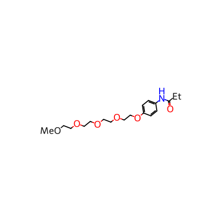 CCC(=O)Nc1ccc(OCCOCCOCCOCCOC)cc1